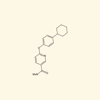 CNC(=O)c1ccc(Oc2ccc(C3CCCCC3)cc2)nc1